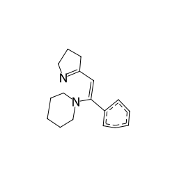 C(=C(c1ccccc1)N1CCCCC1)C1=NCCC1